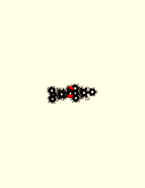 CC1=C(C2=CC=CCC2)C(C)C(C)C(N2C3C=CC=CC3C3(C4C=CC=CC42)C2C=CC=CC2N(C2=C(C)C(C)=C(N4C5=CCCCC5c5ccccc54)C(C)C2C)C2C=CC=CC23)=C1C